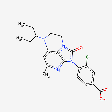 CCC(CC)N1CCn2c(=O)n(-c3ccc(C(=O)O)cc3Cl)c3nc(C)cc1c32